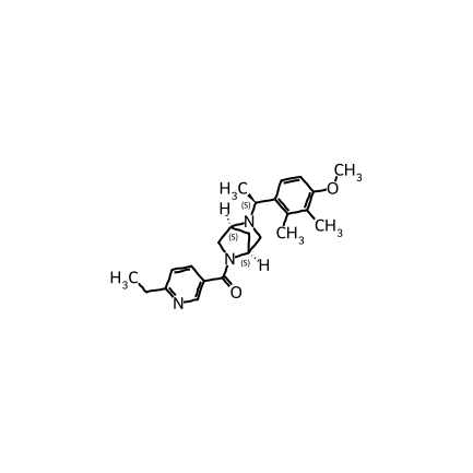 CCc1ccc(C(=O)N2C[C@@H]3C[C@H]2CN3[C@@H](C)c2ccc(OC)c(C)c2C)cn1